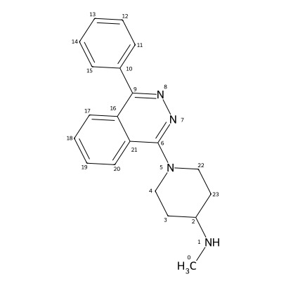 CNC1CCN(c2nnc(-c3ccccc3)c3ccccc23)CC1